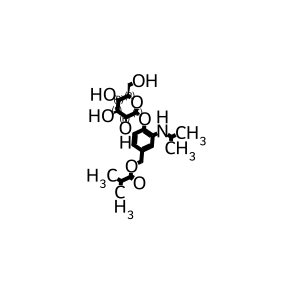 CC(C)Nc1cc(COC(=O)C(C)C)ccc1O[C@@H]1O[C@H](CO)[C@H](O)[C@H](O)[C@H]1O